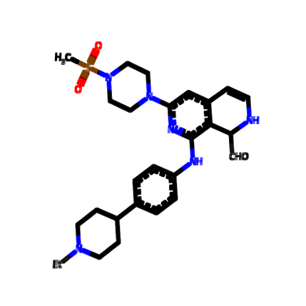 CCN1CCC(c2ccc(Nc3nc(N4CCN(S(C)(=O)=O)CC4)cc4c3C(C=O)NC=C4)cc2)CC1